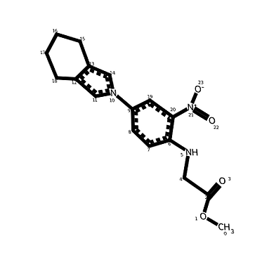 COC(=O)CNc1ccc(-n2cc3c(c2)CCCC3)cc1[N+](=O)[O-]